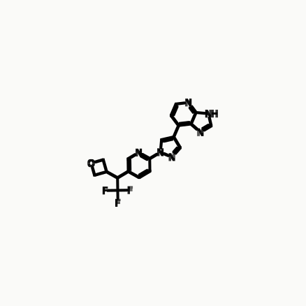 FC(F)(F)C(c1ccc(-n2cc(-c3ccnc4[nH]cnc34)cn2)nc1)C1COC1